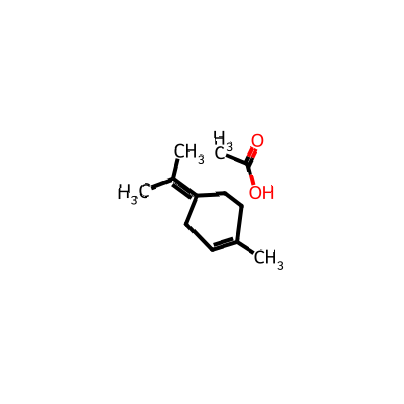 CC(=O)O.CC1=CCC(=C(C)C)CC1